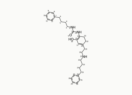 O=C(NCCCCc1ccccc1)NC1=C(O)C=C(CCNCCCCc2ccccc2)CC1